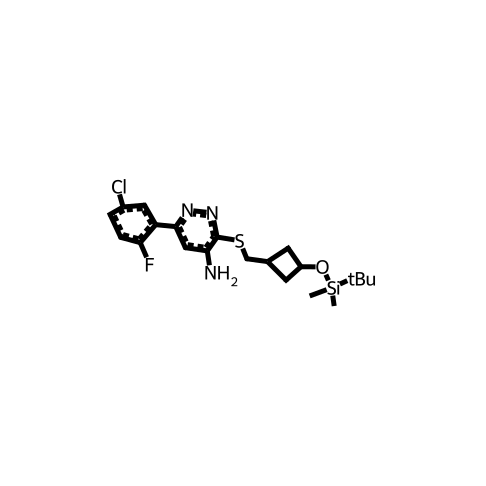 CC(C)(C)[Si](C)(C)OC1CC(CSc2nnc(-c3cc(Cl)ccc3F)cc2N)C1